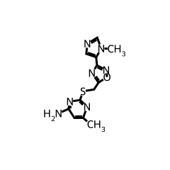 Cc1cc(N)nc(SCc2nc(-c3cncn3C)no2)n1